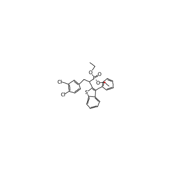 CCOP(=O)(OCC)C(Cc1ccc(Cl)c(Cl)c1)c1sc2ccccc2c1-c1ccccc1